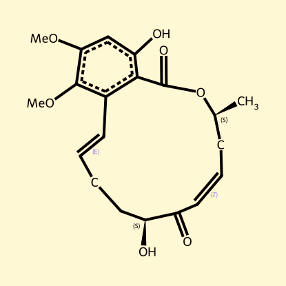 COc1cc(O)c2c(c1OC)/C=C/CC[C@H](O)C(=O)/C=C\C[C@H](C)OC2=O